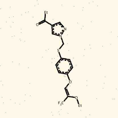 CCO/C(=C\Oc1ccc(SCn2cc(C(=O)CC)cn2)cc1)C(F)(F)F